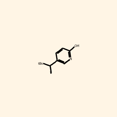 CC(c1ccc(O)nc1)C(C)(C)C